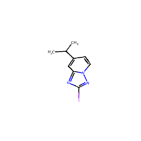 CC(C)c1ccn2nc(I)nc2c1